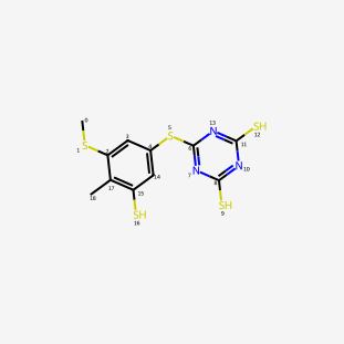 CSc1cc(Sc2nc(S)nc(S)n2)cc(S)c1C